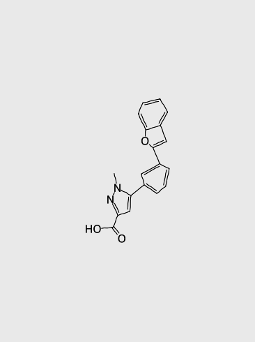 Cn1nc(C(=O)O)cc1-c1cccc(-c2cc3ccccc3o2)c1